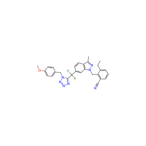 CCc1cccc(C#N)c1Cn1nc(C)c2ccc(C(F)(F)c3nnnn3Cc3ccc(OC)cc3)cc21